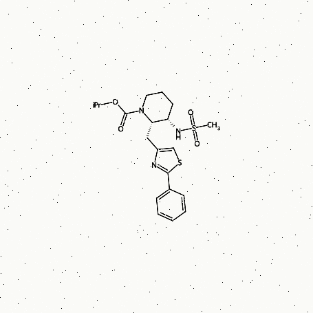 CC(C)OC(=O)N1CCC[C@H](NS(C)(=O)=O)[C@@H]1Cc1csc(-c2ccccc2)n1